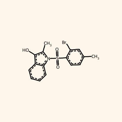 Cc1ccc(S(=O)(=O)n2c(C)c(O)c3ccccc32)c(Br)c1